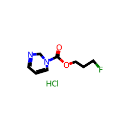 Cl.O=C(OCCCF)N1C=CC=NC1